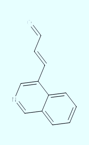 O=CC=Cc1cncc2ccccc12